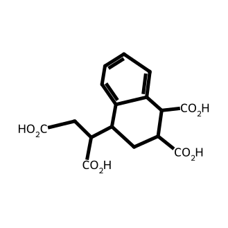 O=C(O)CC(C(=O)O)C1CC(C(=O)O)C(C(=O)O)c2ccccc21